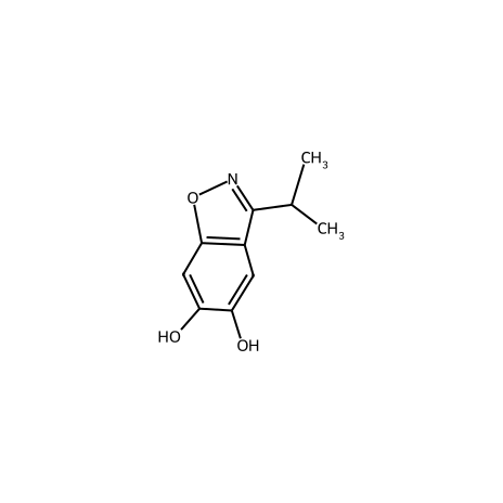 CC(C)c1noc2cc(O)c(O)cc12